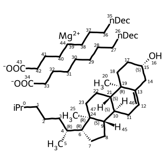 CC(C)CCC[C@@H](C)[C@H]1CC[C@H]2[C@@H]3CC=C4C[C@@H](O)CC[C@]4(C)[C@H]3CC[C@]12C.CCCCCCCCCCCCCCCCCC(=O)[O-].CCCCCCCCCCCCCCCCCC(=O)[O-].[Mg+2]